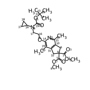 COC(=O)C1(C(=O)OC)Cc2c(C)nc(OCCN(C(=O)OC(C)(C)C)C3CC3)c(C)c2C1